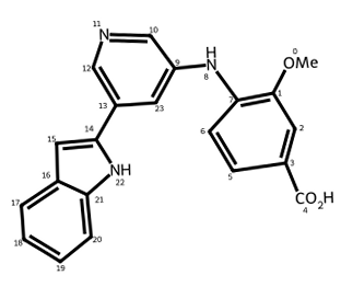 COc1cc(C(=O)O)ccc1Nc1cncc(-c2cc3ccccc3[nH]2)c1